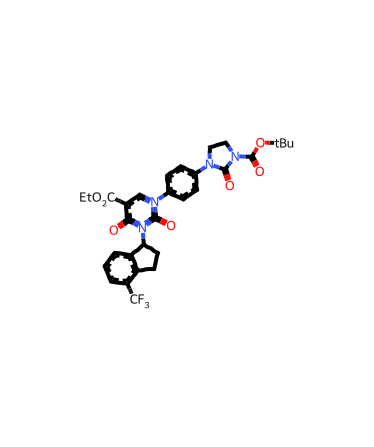 CCOC(=O)c1cn(-c2ccc(N3CCN(C(=O)OC(C)(C)C)C3=O)cc2)c(=O)n(C2CCc3c2cccc3C(F)(F)F)c1=O